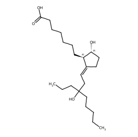 CCCCCC(O)(CC=C1CC[C@@H](O)[C@@H]1CCCCCCC(=O)O)CCC